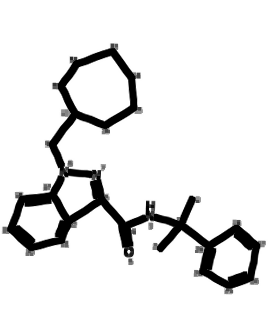 CC(C)(NC(=O)c1nn(CC2CCCCCC2)c2ccccc12)c1ccccc1